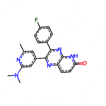 Cc1cc(-c2nc3ccc(=O)[nH]c3nc2-c2ccc(F)cc2)cc(N(C)C)n1